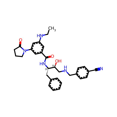 CCNc1cc(C(=O)N[C@@H](Cc2ccccc2)[C@@H](O)CNCc2ccc(C#N)cc2)cc(N2CCCC2=O)c1